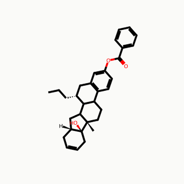 CCC[C@@H]1Cc2cc(OC(=O)c3ccccc3)ccc2C2CC[C@@]3(C)C(C[C@H]4CC=CC[C@]43O)C21